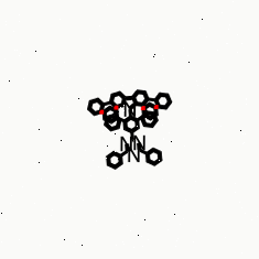 c1ccc(-c2nc(-c3ccccc3)nc(-c3cc(-c4ccccc4)c(-n4c5c(-c6ccccc6)c(-c6ccccc6)ccc5c5ccc(-c6ccccc6)c(-c6ccccc6)c54)c(-c4ccccc4)c3)n2)cc1